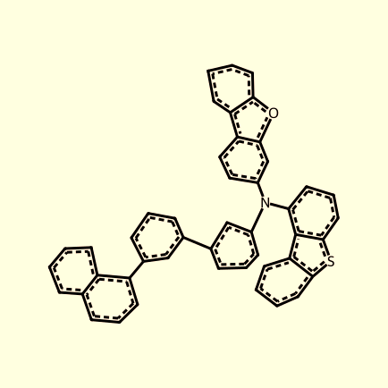 c1cc(-c2cccc(N(c3ccc4c(c3)oc3ccccc34)c3cccc4sc5ccccc5c34)c2)cc(-c2cccc3ccccc23)c1